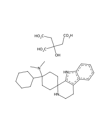 CN(C)C1(C2CCCCC2)CCC2(CC1)NCCc1c2[nH]c2ccccc12.O=C(O)CC(O)(CC(=O)O)C(=O)O